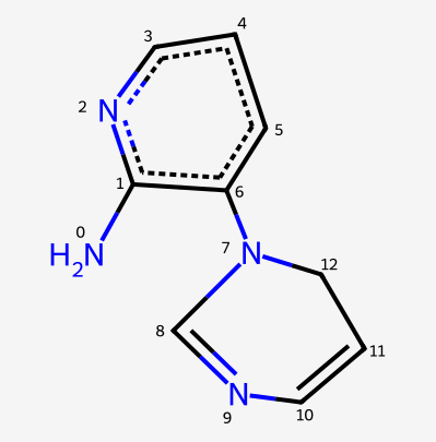 Nc1ncccc1N1C=NC=CC1